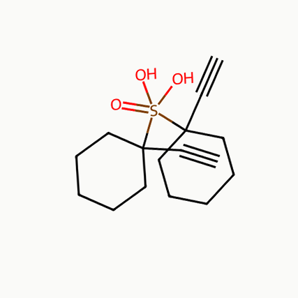 C#CC1(S(=O)(O)(O)C2(C#C)CCCCC2)CCCCC1